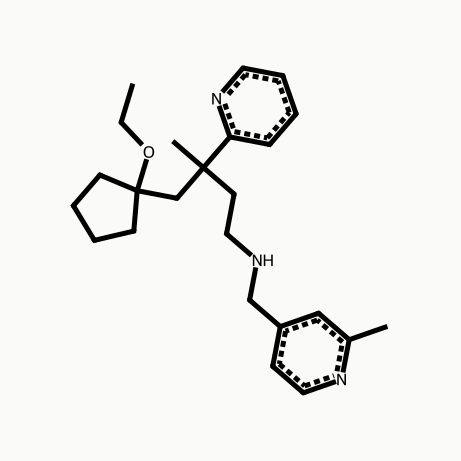 CCOC1(CC(C)(CCNCc2ccnc(C)c2)c2ccccn2)CCCC1